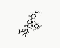 CCC1CCN(c2ccc3c(=O)c(C(=O)NC(C4CC4)C(F)(F)F)cn(-c4c(F)cc(F)cc4F)c3n2)C(=O)N1